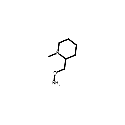 CN1CCCCC1CON